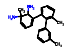 Cc1cccc(-c2c(C)cccc2C2=CC=CC(C)(N)C2N)c1